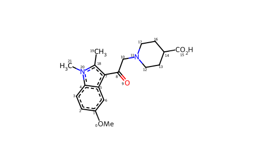 COc1ccc2c(c1)c(C(=O)CN1CCC(C(=O)O)CC1)c(C)n2C